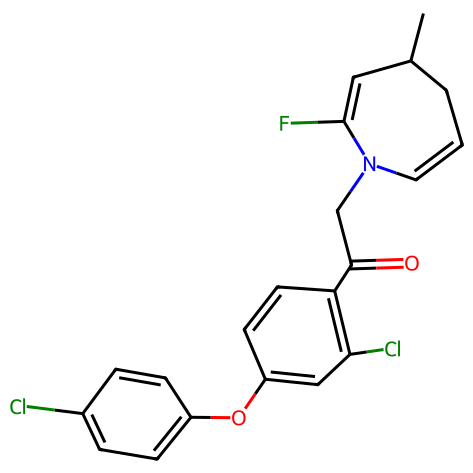 CC1C=C(F)N(CC(=O)c2ccc(Oc3ccc(Cl)cc3)cc2Cl)C=CC1